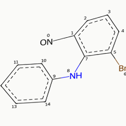 O=Nc1cccc(Br)c1Nc1ccccc1